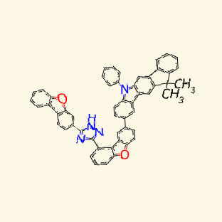 CC1(C)c2ccccc2-c2cc3c(cc21)c1cc(-c2ccc4oc5cccc(-c6n[nH]c(-c7ccc8c(c7)oc7ccccc78)n6)c5c4c2)ccc1n3-c1ccccc1